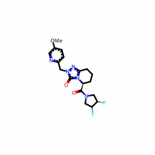 COc1ccc(Cn2nc3n(c2=O)[C@H](C(=O)N2C[C@@H](F)[C@@H](F)C2)CCC3)nc1